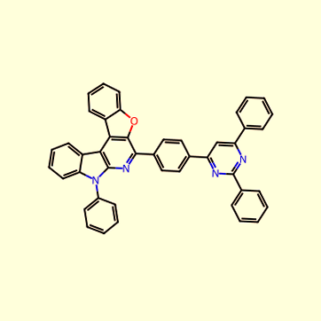 c1ccc(-c2cc(-c3ccc(-c4nc5c(c6ccccc6n5-c5ccccc5)c5c4oc4ccccc45)cc3)nc(-c3ccccc3)n2)cc1